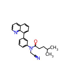 CC(C)CCC(=O)N(CC#N)c1cccc(-c2cccc3cccnc23)c1